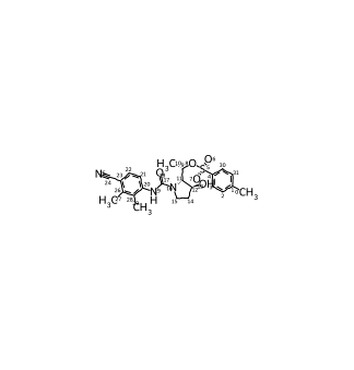 Cc1ccc(S(=O)(=O)O[C@@H](C)[C@@H]2[C@@H](O)CCN2C(=O)Nc2ccc(C#N)c(C)c2C)cc1